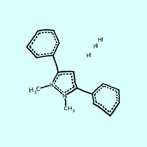 Cn1c(-c2ccccc2)cc(-c2ccccc2)[n+]1C.I.I.I